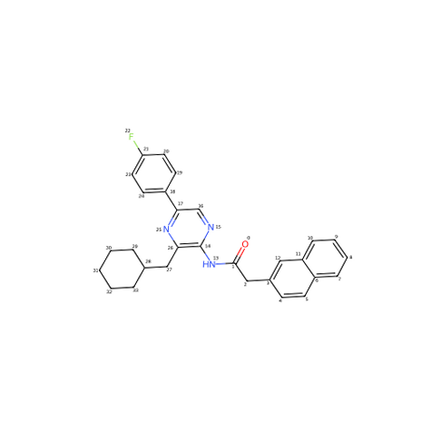 O=C(Cc1ccc2ccccc2c1)Nc1ncc(-c2ccc(F)cc2)nc1CC1CCCCC1